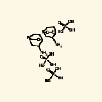 NC1CN2CCC1CC2.NC1CN2CCC1CC2.O=P(O)(O)O.O=P(O)(O)O.O=P(O)(O)O